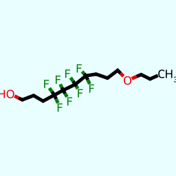 CCCOCCCC(F)(F)C(F)(F)C(F)(F)C(F)(F)CCCO